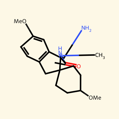 COc1ccc2c(c1)C1(NC(N)N(C)C1=O)C1(CCC(OC)CC1)C2